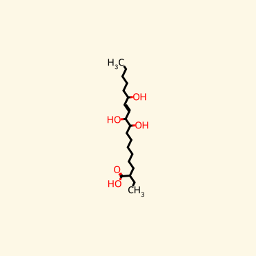 CCCCCC(O)C=CC(O)C(O)CCCCCCC(CC)C(=O)O